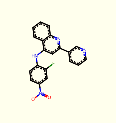 O=[N+]([O-])c1ccc(Nc2cc(-c3cccnc3)nc3ccccc23)c(F)c1